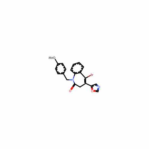 COc1ccc(CN2C(=O)CC(c3cnco3)=C(Br)c3ccccc32)cc1